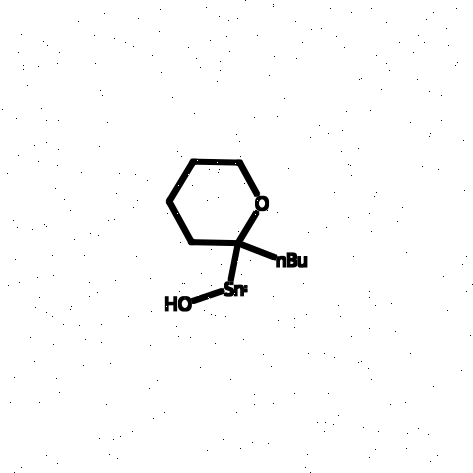 CCCC[C]1([Sn][OH])CCCCO1